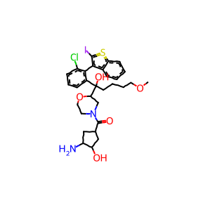 COCCCCC(O)(c1cccc(Cl)c1-c1c(I)sc2ccccc12)C1CN(C(=O)C2CC(N)C(O)C2)CCO1